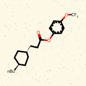 CCCC[C@H]1CC[C@H](CCC(=O)Oc2ccc(OC(F)(F)F)cc2)CC1